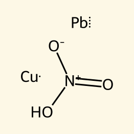 O=[N+]([O-])O.[Cu].[Pb]